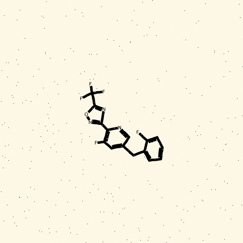 Fc1ccccc1Cc1cnc(-c2noc(C(F)(F)F)n2)c(F)c1